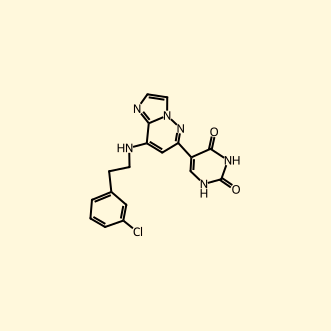 O=c1[nH]cc(-c2cc(NCCc3cccc(Cl)c3)c3nccn3n2)c(=O)[nH]1